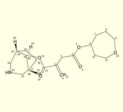 C=C(CC(=O)OC1CCCOCC1)C(=O)O[C@H]1[C@@H]2CC[C@H]1CNC2